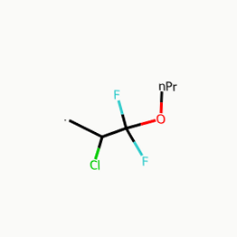 [CH2]C(Cl)C(F)(F)OCCC